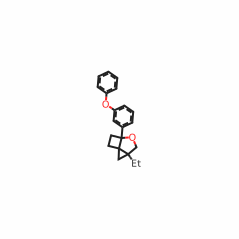 CCC12COC3(c4cccc(Oc5ccccc5)c4)CCC13C2